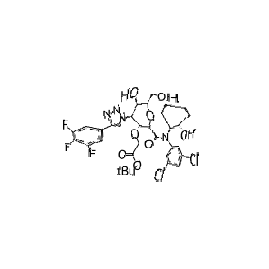 CC(C)(C)OC(=O)CO[C@@H]1[C@@H](n2cc(-c3cc(F)c(F)c(F)c3)nn2)[C@@H](O)[C@@H](CO)O[C@H]1C(=O)N(c1cc(Cl)cc(Cl)c1)[C@H]1CCCC[C@@H]1O